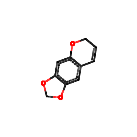 C1=Cc2cc3c(cc2OC1)OCO3